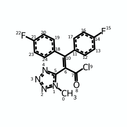 Cn1nnnc1C(C(=O)Cl)=C(c1ccc(F)cc1)c1ccc(F)cc1